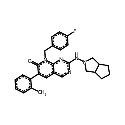 Cc1ccccc1-c1cc2cnc(NN3CC4CCCC4C3)nc2n(Cc2ccc(F)cc2)c1=O